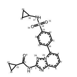 O=C(Nc1nc2cccc(-c3ccc(S(=O)(=O)NC4CC4)cc3)n2n1)C1CC1